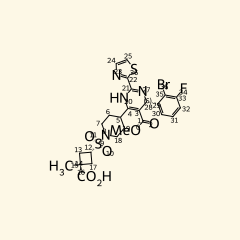 COC(=O)C1=C(C2CCN(S(=O)(=O)[C@H]3C[C@](C)(C(=O)O)C3)CC2)NC(c2nccs2)=N[C@@H]1c1cccc(F)c1Br